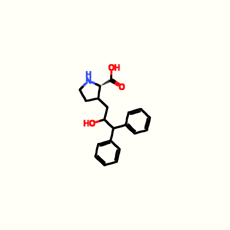 O=C(O)[C@H]1NCCC1CC(O)C(c1ccccc1)c1ccccc1